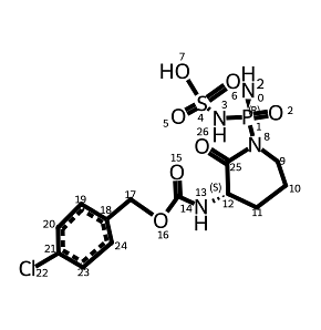 N[P@](=O)(NS(=O)(=O)O)N1CCC[C@H](NC(=O)OCc2ccc(Cl)cc2)C1=O